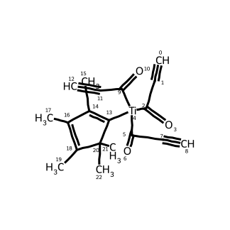 C#C[C](=O)[Ti]([C](=O)C#C)([C](=O)C#C)[C]1=C(C)C(C)=C(C)C1(C)C